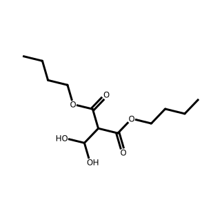 CCCCOC(=O)C(C(=O)OCCCC)C(O)O